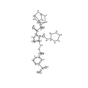 O=C(O)c1cccc(NCCn2ncc(C(=O)NC3C4CC5CC(C4)CC3C5)c2OCC2CCCCC2)c1